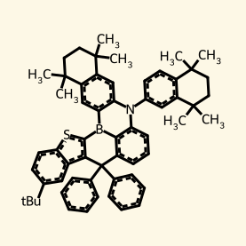 CC(C)(C)c1ccc2sc3c(c2c1)C(c1ccccc1)(c1ccccc1)c1cccc2c1B3c1cc3c(cc1N2c1ccc2c(c1)C(C)(C)CCC2(C)C)C(C)(C)CCC3(C)C